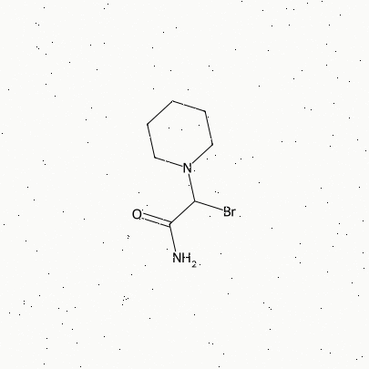 NC(=O)C(Br)N1CCCCC1